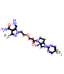 N=Cc1c(C(N)=O)c(C(F)(F)F)nn1CCOCCC(=O)N1CCC2[C@@H]1CN2c1ncc(C(F)(F)F)cn1